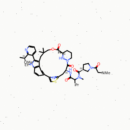 CCn1c(-c2cccnc2[C@H](C)OC)c2c3cc(ccc31)-c1csc(n1)C[C@H](NC(=O)C(C(C)C)N(C)C(=O)[C@H]1CCN(C(=O)CNC)C1)C(=O)N1CCC[C@H](N1)C(=O)OCC(C)(C)C2